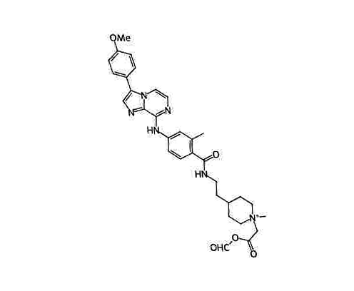 COc1ccc(-c2cnc3c(Nc4ccc(C(=O)NCCC5CC[N+](C)(CC(=O)OC=O)CC5)c(C)c4)nccn23)cc1